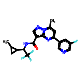 Cc1cc(-c2cncc(F)c2)nc2c(C(=O)NC(C3CC3C)C(F)(F)F)cnn12